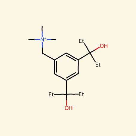 CCC(O)(CC)c1cc(C[N+](C)(C)C)cc(C(O)(CC)CC)c1